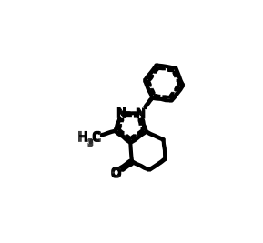 Cc1nn(-c2ccccc2)c2c1C(=O)CCC2